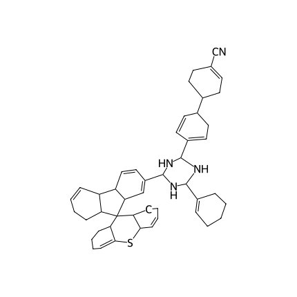 N#CC1=CCC(C2C=CC(C3NC(C4=CC5C(C=C4)C4C=CCCC4C54C5CCCC=C5SC5C=CCCC54)NC(C4=CCCCC4)N3)=CC2)CC1